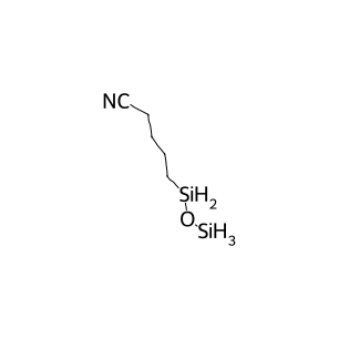 N#CCCCC[SiH2]O[SiH3]